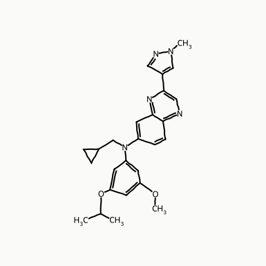 COc1cc(OC(C)C)cc(N(CC2CC2)c2ccc3ncc(-c4cnn(C)c4)nc3c2)c1